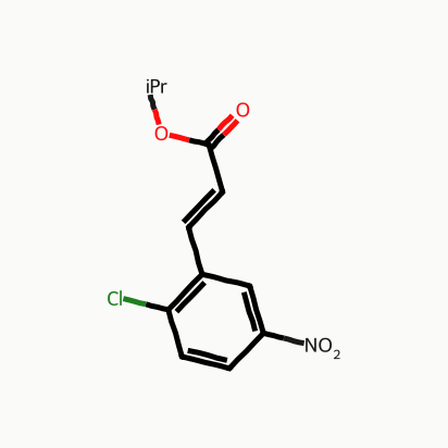 CC(C)OC(=O)C=Cc1cc([N+](=O)[O-])ccc1Cl